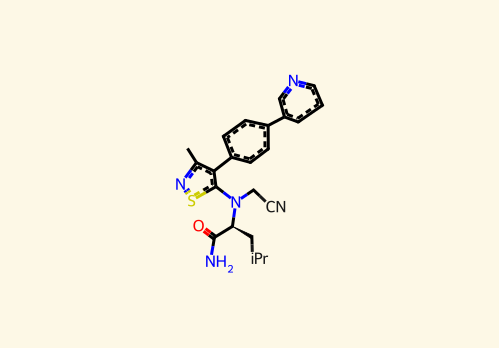 Cc1nsc(N(CC#N)[C@@H](CC(C)C)C(N)=O)c1-c1ccc(-c2cccnc2)cc1